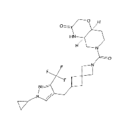 O=C1CO[C@H]2CCN(C(=O)N3CC4(CC(Cc5cn(C6CC6)nc5C(F)(F)F)C4)C3)C[C@H]2N1